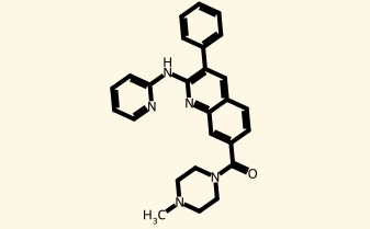 CN1CCN(C(=O)c2ccc3cc(-c4ccccc4)c(Nc4ccccn4)nc3c2)CC1